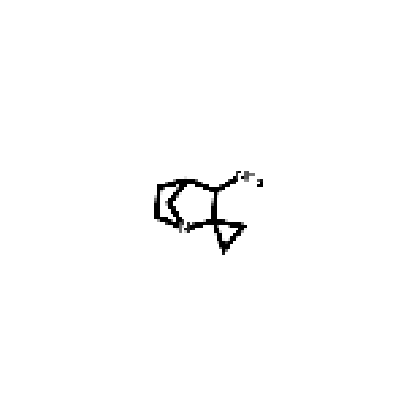 NC1C2CCN(C2)C12CC2